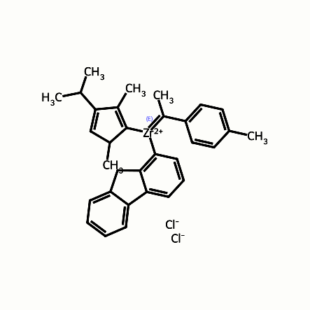 CC1=[C](/[Zr+2](=[C](\C)c2ccc(C)cc2)[c]2cccc3c2Cc2ccccc2-3)C(C)C=C1C(C)C.[Cl-].[Cl-]